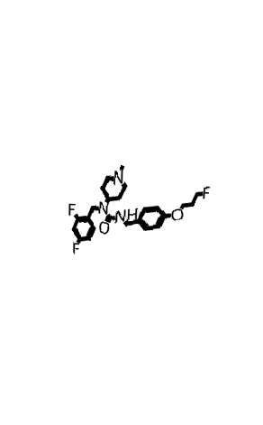 CN1CCC(N(Cc2ccc(F)cc2F)C(=O)NCc2ccc(OCCCF)cc2)CC1